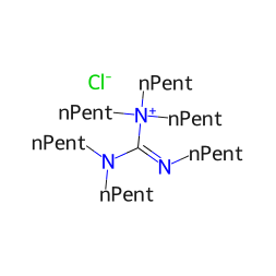 CCCCCN=C(N(CCCCC)CCCCC)[N+](CCCCC)(CCCCC)CCCCC.[Cl-]